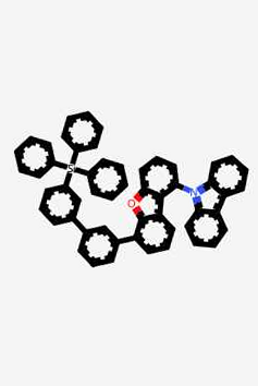 c1ccc([Si](c2ccccc2)(c2ccccc2)c2cccc(-c3cccc(-c4cccc5c4oc4cccc(-n6c7ccccc7c7ccccc76)c45)c3)c2)cc1